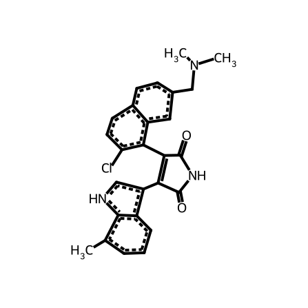 Cc1cccc2c(C3=C(c4c(Cl)ccc5ccc(CN(C)C)cc45)C(=O)NC3=O)c[nH]c12